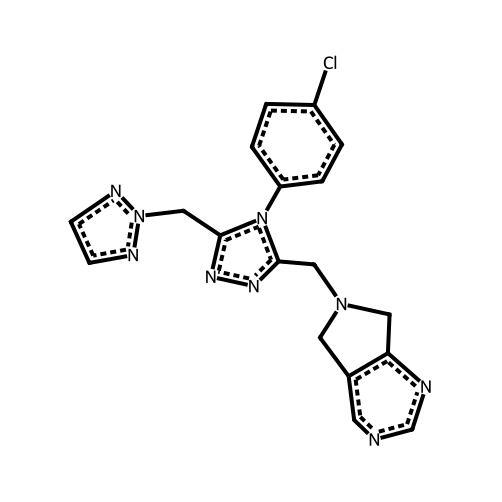 Clc1ccc(-n2c(CN3Cc4cncnc4C3)nnc2Cn2nccn2)cc1